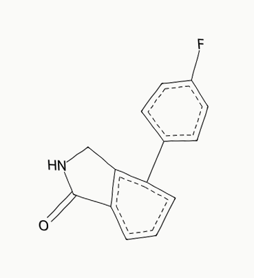 O=C1NCc2c1cccc2-c1ccc(F)cc1